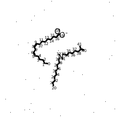 CCCCC/C=C\C/C=C\CCCCCCCC(=O)[O-].CCCCCCCCCC[N+](C)(C)CCCCCCC(C)C